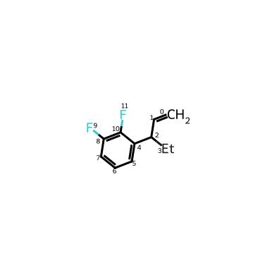 C=CC(CC)c1cccc(F)c1F